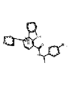 CC(NC(=O)C1=C2Nc3ccccc3C23NCN(c2ccncc2)C3C=C1)c1ccc(N)cc1